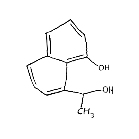 CC(O)c1cccc2cccc(O)c12